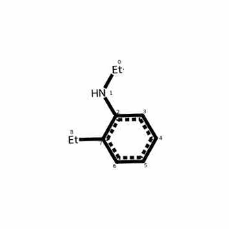 C[CH]Nc1ccccc1CC